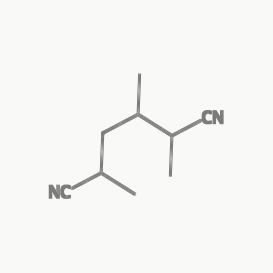 CC(C#N)CC(C)C(C)C#N